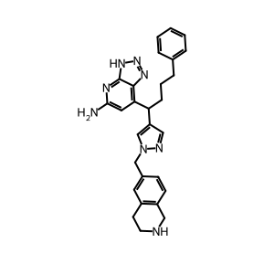 Nc1cc(C(CCCc2ccccc2)c2cnn(Cc3ccc4c(c3)CCNC4)c2)c2nn[nH]c2n1